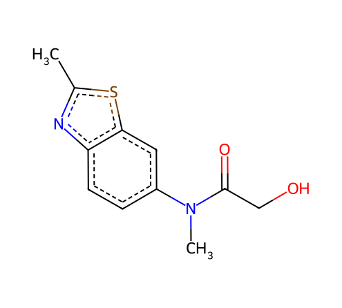 Cc1nc2ccc(N(C)C(=O)CO)cc2s1